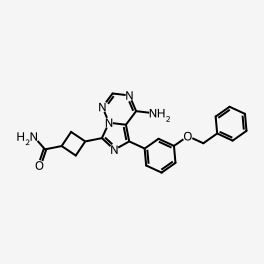 NC(=O)C1CC(c2nc(-c3cccc(OCc4ccccc4)c3)c3c(N)ncnn23)C1